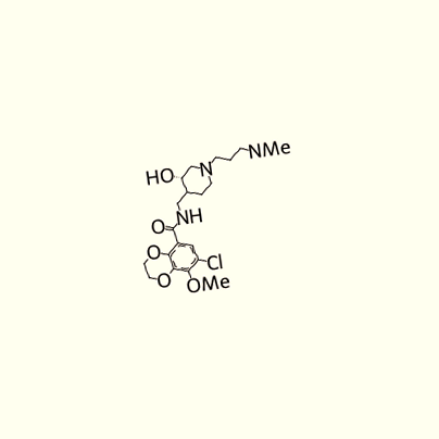 CNCCCN1CCC(CNC(=O)c2cc(Cl)c(OC)c3c2OCCO3)[C@H](O)C1